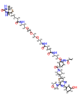 C=CC(=O)Nc1ccc(C(=O)N2CC=C(c3cc4nc(-c5cccc(O)c5)nc(N5CCOCC5)c4s3)CC2)cc1OCCCNC(=O)CCCC(=O)NCCCOCCOCCOCCCNC(=O)CCCC[C@H]1SC[C@H]2NC(=O)N[C@H]21